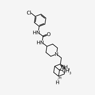 CC1(C)C2C[C@@H]1CC=C2CN1CCC(NC(=O)Nc2cccc(Cl)c2)CC1